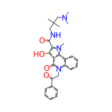 CN(C)CC(C)(C)CNC(=O)c1c(O)c2c(=O)n(CC(=O)c3ccccc3)c3ccccc3c2n1C